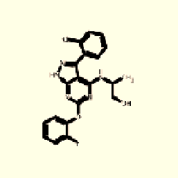 CC(CO)Nc1nc(Oc2ccccc2F)nc2[nH]nc(-c3ccccc3Cl)c12